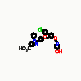 O=C(O)c1ccc2c(c1)nc(-c1ccc(OCc3cc(OCCN4CCC(O)CC4)ccc3-c3ccc(Cl)cc3)cc1)n2C1CCCCC1